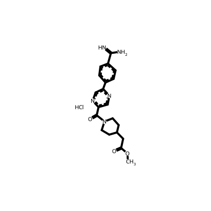 COC(=O)CC1CCN(C(=O)c2cnc(-c3ccc(C(=N)N)cc3)cn2)CC1.Cl